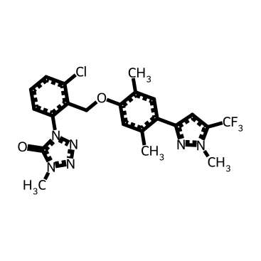 Cc1cc(-c2cc(C(F)(F)F)n(C)n2)c(C)cc1OCc1c(Cl)cccc1-n1nnn(C)c1=O